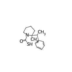 CC(c1ccccc1)C1(C)CCCCN1C(=O)S